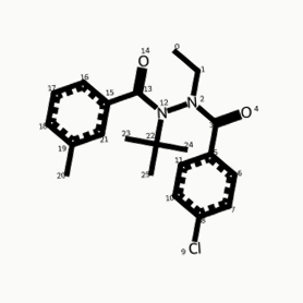 CCN(C(=O)c1ccc(Cl)cc1)N(C(=O)c1cccc(C)c1)C(C)(C)C